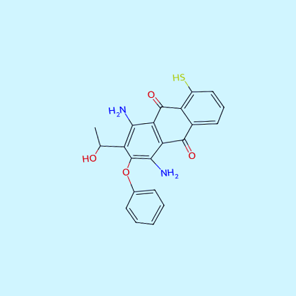 CC(O)c1c(N)c2c(c(N)c1Oc1ccccc1)C(=O)c1cccc(S)c1C2=O